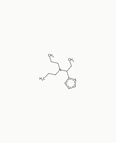 CCCN(CCC)C(CC)c1cccs1